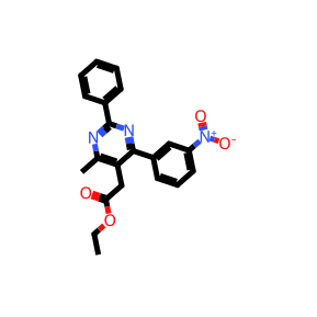 CCOC(=O)Cc1c(C)nc(-c2ccccc2)nc1-c1cccc([N+](=O)[O-])c1